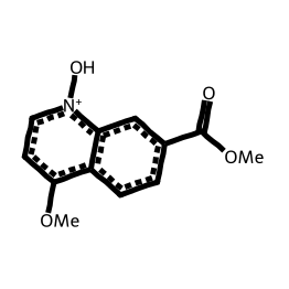 COC(=O)c1ccc2c(OC)cc[n+](O)c2c1